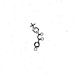 CC(C)(C)N1CCN(C(=O)CC(=O)c2ccc(Cl)cc2)CC1